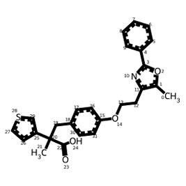 Cc1oc(-c2ccccc2)nc1CCOc1ccc(CC(C)(C(=O)O)c2ccsc2)cc1